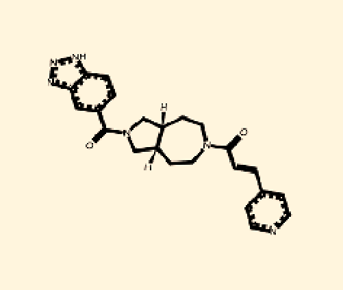 O=C(/C=C/c1ccncc1)N1CC[C@@H]2CN(C(=O)c3ccc4[nH]nnc4c3)C[C@@H]2CC1